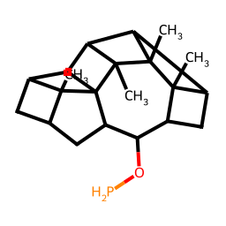 CC12C3CC1C1C4C5C6CC7CC(C3OP)C5(C76C)C4(C)C12C